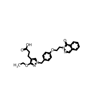 CCOc1nn(Cc2ccc(OCCn3ncc4ccccc4c3=O)cc2)cc1CCC(=O)O